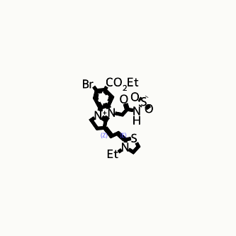 CCOC(=O)c1cc2c(cc1Br)[n+]1c(n2CC(=O)NS(C)(=O)=O)/C(=C\C=C2\SCCN2CC)CC1